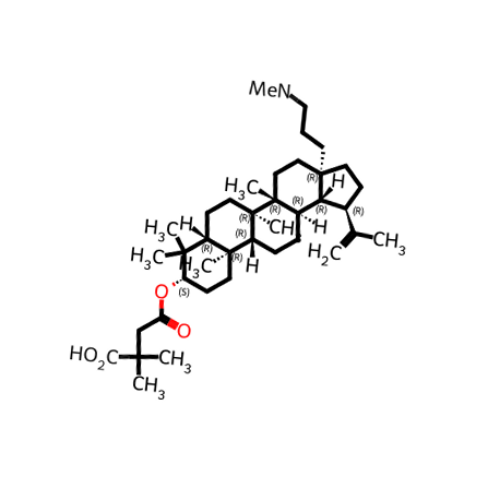 C=C(C)[C@@H]1CC[C@]2(CCCNC)CC[C@]3(C)[C@H](CC[C@@H]4[C@@]5(C)CC[C@H](OC(=O)CC(C)(C)C(=O)O)C(C)(C)[C@@H]5CC[C@]43C)[C@@H]12